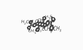 Cc1cccc(N(c2cccc(C)c2)c2ccc3c(c2)C(C)(C)c2cc4c(-c5ccccc5)c5c(cc4c(-c4ccccc4)c2-3)C(C)(C)c2cc(N(c3cccc(C)c3)c3cccc(C)c3)ccc2-5)c1